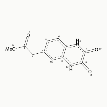 COC(=O)Cc1ccc2[nH]c(=O)c(=O)[nH]c2c1